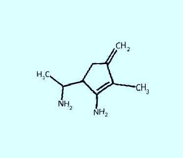 C=C1CC(C(C)N)C(N)=C1C